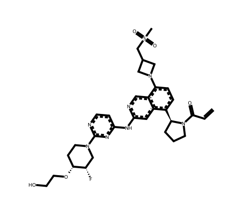 C=CC(=O)N1CCC[C@H]1c1ccc(N2CC(CS(C)(=O)=O)C2)c2cnc(Nc3ccnc(N4CC[C@@H](OCCO)[C@@H](F)C4)n3)cc12